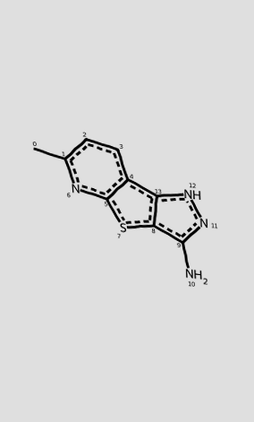 Cc1ccc2c(n1)sc1c(N)n[nH]c12